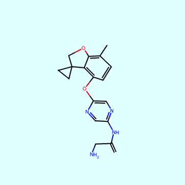 C=C(CN)Nc1cnc(Oc2ccc(C)c3c2C2(CC2)CO3)cn1